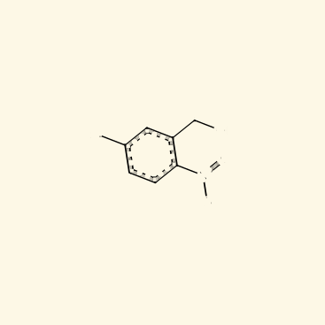 O=[N+]([O-])c1ccc(Cl)cc1[CH]O